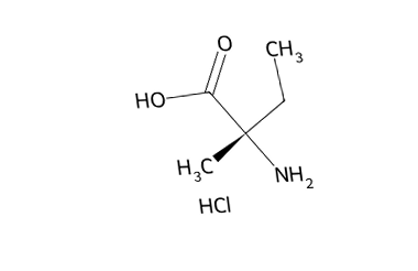 CC[C@](C)(N)C(=O)O.Cl